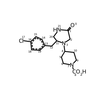 O=C1CN(C2CCN(C(=O)O)CC2)C(Cc2ccc(Cl)cc2)CN1